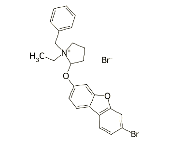 CC[N+]1(Cc2ccccc2)CCCC1Oc1ccc2c(c1)oc1cc(Br)ccc12.[Br-]